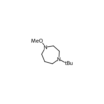 CON1CCCN(C(C)(C)C)CC1